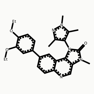 CCOc1ccc(-c2ccc3ncc4c(c3c2)n(-c2c(C)nn(C)c2C)c(=O)n4C)cc1OCC